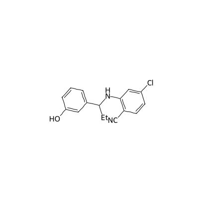 CCC(Nc1cc(Cl)ccc1C#N)c1cccc(O)c1